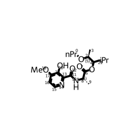 CCCO[C@@H](C)C(OC(=O)[C@H](C)NC(=O)c1nccc(OC)c1O)C(C)C